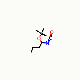 CCCC(N=C=O)O[Si](C)(C)C